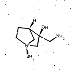 B[N@@+]12CC[C@@H](C1)[C@](O)(CN)C2